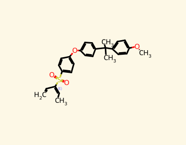 C=C/C(=C\C)S(=O)(=O)c1ccc(Oc2ccc(C(C)(C)c3ccc(OC)cc3)cc2)cc1